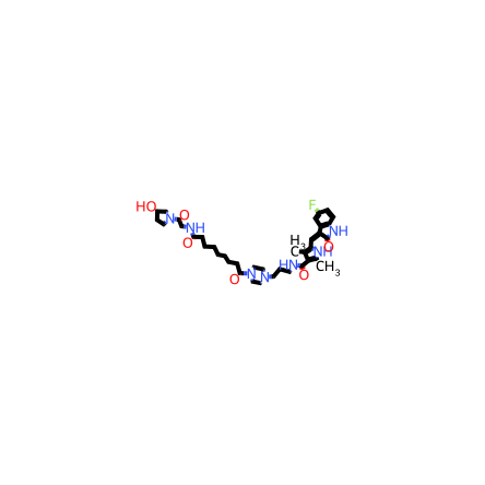 Cc1[nH]c(/C=C2\C(=O)Nc3ccc(F)cc32)c(C)c1C(=O)NCCCN1CCN(C(=O)CCCCCCCC(=O)NCC(=O)N2CC[C@@H](O)C2)CC1